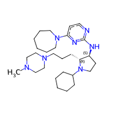 CN1CCN(CCC[C@@H]2[C@@H](Nc3nccc(N4CCCCCC4)n3)CCN2C2CCCCC2)CC1